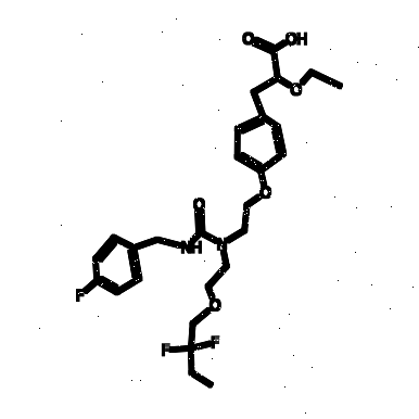 CCOC(Cc1ccc(OCCN(CCOCC(F)(F)CC)C(=O)NCc2ccc(F)cc2)cc1)C(=O)O